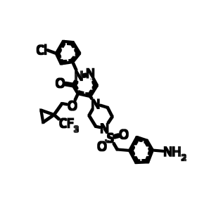 Nc1ccc(CS(=O)(=O)N2CCN(c3cnn(-c4cccc(Cl)c4)c(=O)c3OCC3(C(F)(F)F)CC3)CC2)cc1